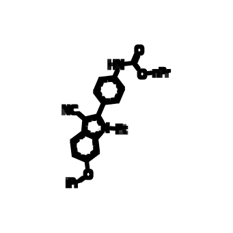 CCCOC(=O)Nc1ccc(-c2c(C#N)c3ccc(OC(C)C)cc3n2CC)cc1